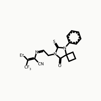 CC/C(=C(C#N)\N=C/CN1C(=O)C2(CCC2)N(c2ccccc2)C1=S)C(F)(F)F